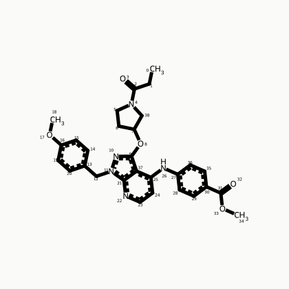 CCC(=O)N1CCC(Oc2nn(Cc3ccc(OC)cc3)c3nccc(Nc4ccc(C(=O)OC)cc4)c23)C1